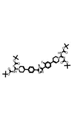 Cn1c(-c2ccc(C3=CCN(/C(=N\C(=O)OC(C)(C)C)NC(=O)OC(C)(C)C)CC3)cc2)nnc1-c1ccc(C2=CCN(/C(=N\C(=O)OC(C)(C)C)NC(=O)OC(C)(C)C)CC2)cc1F